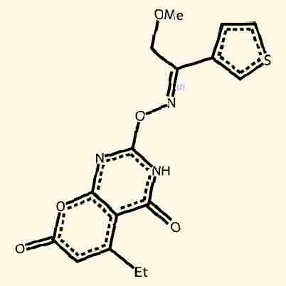 CCc1cc(=O)oc2nc(O/N=C(\COC)c3ccsc3)[nH]c(=O)c12